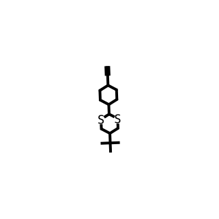 C#CC1CCC(C2SCC(C(C)(C)C)CS2)CC1